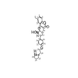 Cc1ccc2oc(=O)c(CC(CCc3ccc(OCCC4CCCN4)cc3)C(=O)NO)cc2c1